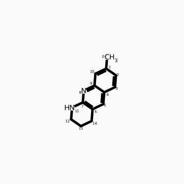 Cc1ccc2cc3c(nc2c1)NCCC3